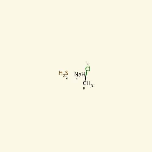 CCl.S.[NaH]